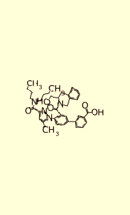 CCCCN(CCCC)C(=O)c1cc(C)n(-c2ccc(-c3cccc(C(=O)O)c3)cc2C(=O)N2Cc3ccccc3CC2CO)n1